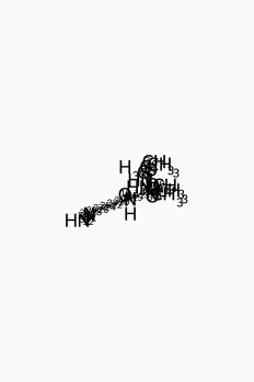 CC(C)(C)OC(=O)CNC(=O)NC(CCCCNC(=O)CCCCCCCCCCN1CCNCC1)C(=O)OC(C)(C)C